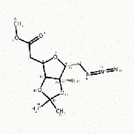 COC(=O)CC1O[C@H](CN=[N+]=[N-])[C@H]2OC(C)(C)OC12